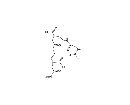 CCC(=O)N(CCNC(=O)CN(CC)C(=O)CC)CC(=O)CCCN(CC(=O)NC)C(=O)CC